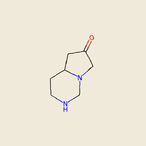 O=C1CC2CCNCN2C1